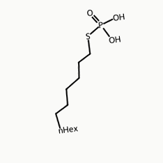 CCCCCCCCCCCCSP(=O)(O)O